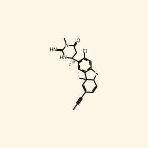 CC#CC1=CC2(C)c3cc([C@]4(C)CC(=O)N(C)C(=N)N4)c(Cl)cc3SC2C=C1